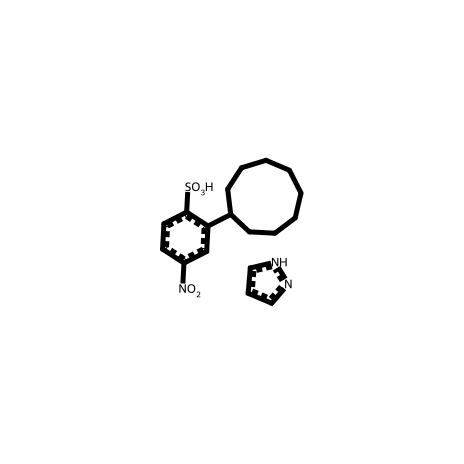 O=[N+]([O-])c1ccc(S(=O)(=O)O)c(C2CCCCCCCC2)c1.c1cn[nH]c1